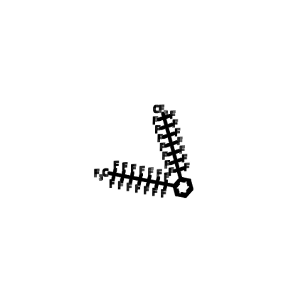 FC(F)(F)C(F)(F)C(F)(F)C(F)(F)C(F)(F)C(F)(F)C(F)(F)C(F)(F)c1ccccc1C(F)(F)C(F)(F)C(F)(F)C(F)(F)C(F)(F)C(F)(F)C(F)(F)C(F)(F)F